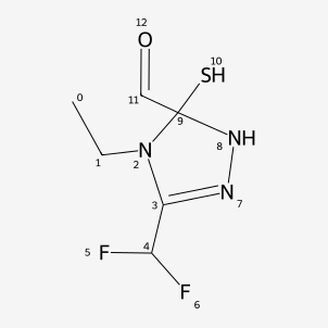 CCN1C(C(F)F)=NNC1(S)C=O